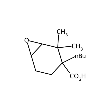 CCCCC1(C(=O)O)CCC2OC2C1(C)C